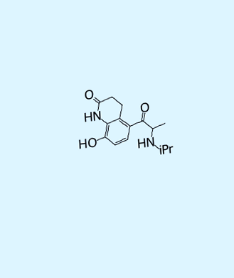 CC(C)NC(C)C(=O)c1ccc(O)c2c1CCC(=O)N2